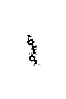 O=C(O)CC1CCCC(NC(=O)c2cc(-c3ccc(OC(F)(F)F)cc3)cs2)C1